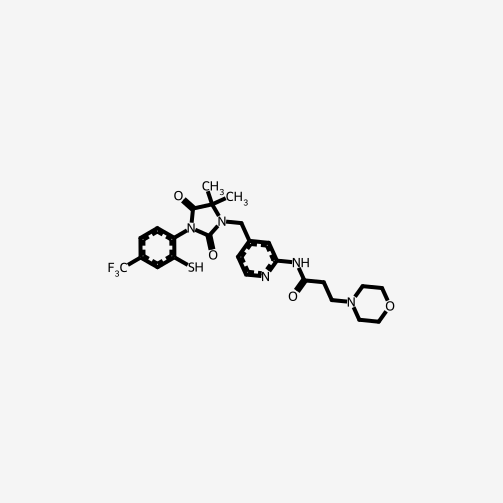 CC1(C)C(=O)N(c2ccc(C(F)(F)F)cc2S)C(=O)N1Cc1ccnc(NC(=O)CCN2CCOCC2)c1